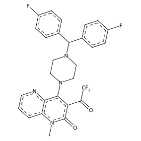 Cn1c(=O)c(C(=O)C(F)(F)F)c(N2CCN(C(c3ccc(F)cc3)c3ccc(F)cc3)CC2)c2ncccc21